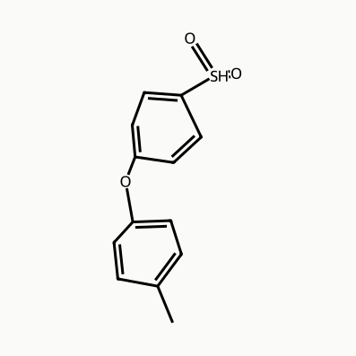 Cc1ccc(Oc2ccc([SH](=O)=O)cc2)cc1